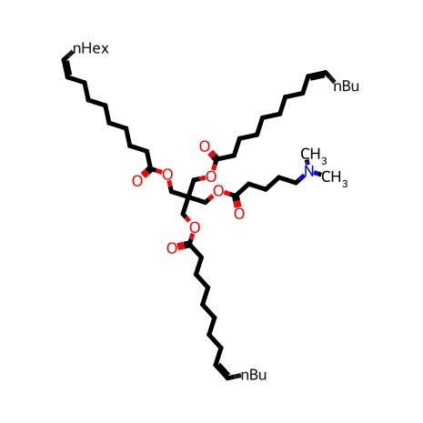 CCCC/C=C\CCCCCCCC(=O)OCC(COC(=O)CCCCCCC/C=C\CCCC)(COC(=O)CCCCCCC/C=C\CCCCCC)COC(=O)CCCCN(C)C